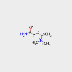 CC(CCC(N)=O)N(C)C